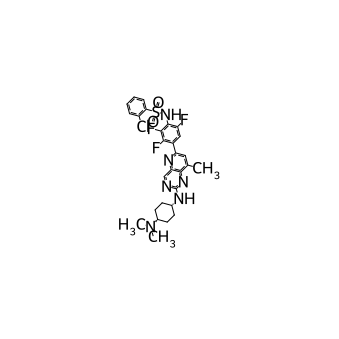 Cc1cc(-c2cc(F)c(NS(=O)(=O)c3ccccc3Cl)c(F)c2F)nc2cnc(N[C@H]3CC[C@H](N(C)C)CC3)nc12